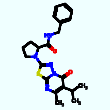 Cc1nc2sc(N3CCCC3C(=O)NCc3ccccc3)nn2c(=O)c1C(C)C